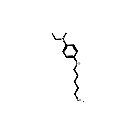 CCN(C)c1ccc(NCCCCCN)cc1